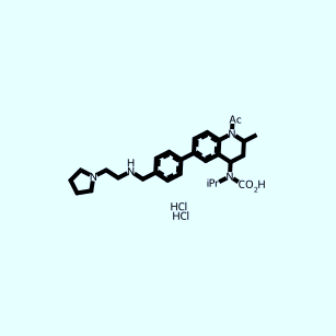 CC(=O)N1c2ccc(-c3ccc(CNCCN4CCCC4)cc3)cc2C(N(C(=O)O)C(C)C)CC1C.Cl.Cl